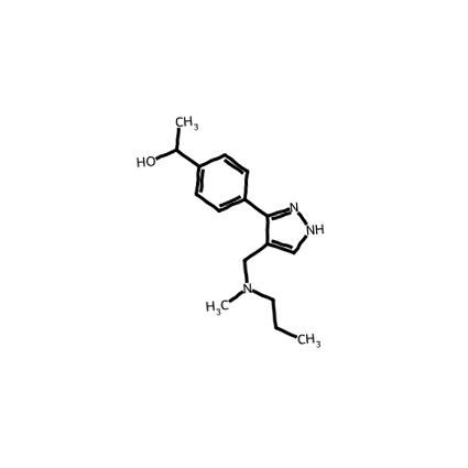 CCCN(C)Cc1c[nH]nc1-c1ccc(C(C)O)cc1